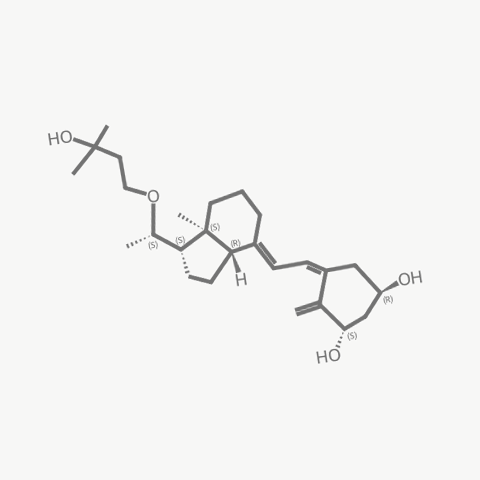 C=C1C(=CC=C2CCC[C@]3(C)[C@@H]([C@H](C)OCCC(C)(C)O)CC[C@@H]23)C[C@@H](O)C[C@@H]1O